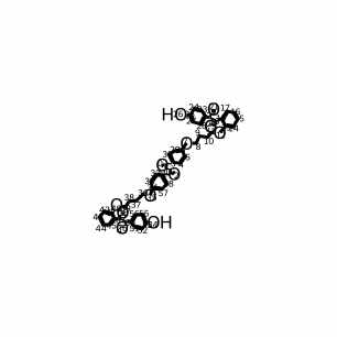 O=S(=O)(c1ccc(OCCCCOc2ccccc2S(=O)(=O)c2ccc(O)cc2)cc1)c1ccc(OCCCCOc2ccccc2S(=O)(=O)c2ccc(O)cc2)cc1